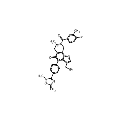 C=C1N=C(c2ccc(-n3c(=O)c4c(n5ncc(CC(C)C)c35)CN(C(=O)c3ccc(Br)c(C)c3)[C@@H](C)C4)cc2)N(C)O1